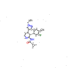 CC(C)Cn1cc(-c2ccnc(NC(=O)C3CC3)c2)c(-c2ccc(F)c(C#N)c2)n1